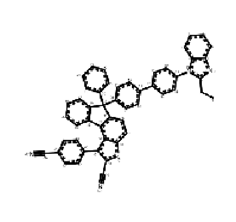 CCc1nc2ccccc2n1-c1ccc(-c2ccc(C3(c4ccccc4)c4ccccc4-c4c3ccc3sc(C#N)c(-c5ccc(C#N)cc5)c43)cc2)cc1